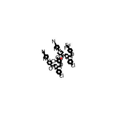 C[C@H](Oc1ccc(C(F)(F)F)cc1)[C@H]1CCN(C(=O)C2CCN(c3ccc(C#N)cn3)CC2)C[C@@H]1c1ccc(Cl)cc1.C[C@H](Oc1ccc(Cl)c(Cl)c1)[C@H]1CCN(C(=O)C2CCN(c3ccc(C#N)cn3)CC2)C[C@@H]1c1ccc(Cl)cc1